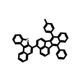 Cc1ccc(-c2c3c(c(-c4ccccc4)c4ccccc24)-c2cccc4c(-c5cc6ccccc6c6c5sc5ccccc56)ccc-3c24)cc1